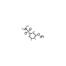 CC(C)Oc1cccc(S(=O)(=O)N(C)C)c1